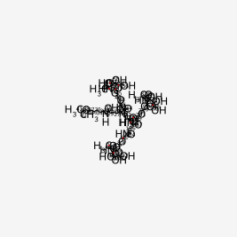 CC(=O)NC1C(OCCOCCNC(=O)CCC(NC(=O)CCC(NC(=O)CCCC(=O)NCCCCCCOC(C)C)C(=O)NCCOCCOC2OC(CO)C(O)C(O)C2NC(C)=O)C(=O)NCCOCCOC2OC(CO)C(O)C(O)C2NC(C)=O)OC(CO)C(O)C1O